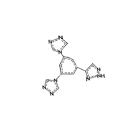 c1c(-c2cn[nH]n2)cc(-n2cnnc2)cc1-n1cnnc1